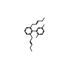 CCC=CCc1cccc(CC=CCC)c1-c1cc(C)ccc1C